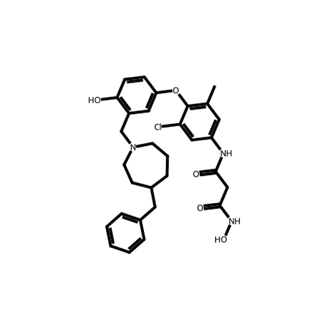 Cc1cc(NC(=O)CC(=O)NO)cc(Cl)c1Oc1ccc(O)c(CN2CCCC(Cc3ccccc3)CC2)c1